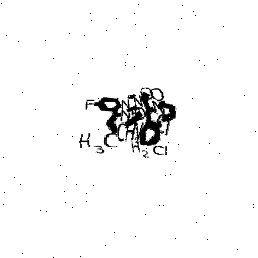 CC(C)CC(NCC(N)=O)c1cc(F)ccc1N1CCN(C(=O)C(Cc2ccc(Cl)cc2Cl)N2CCCC2=O)CC1